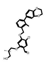 Cc1c(COc2cc(OC[C@@H](C)CO)c(C=O)cc2Cl)cccc1-c1ccc2c(c1)OCCO2